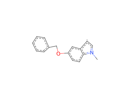 Cn1c[c]c2cc(OCc3ccccc3)ccc21